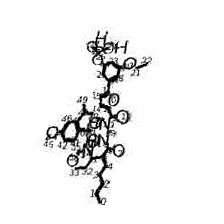 CCCCCC(C(=O)NCNC(=O)c1ccc(-c2cc(OCC)cc(O[PH](=O)O)c2)o1)C(CC)N(C=O)OC(=O)c1ccc(OC)cc1C(C)C